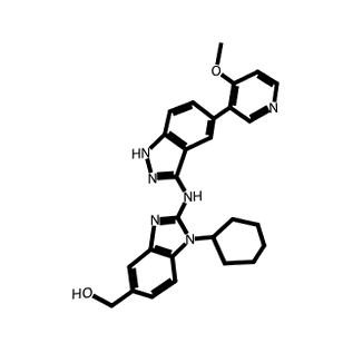 COc1ccncc1-c1ccc2[nH]nc(Nc3nc4cc(CO)ccc4n3C3CCCCC3)c2c1